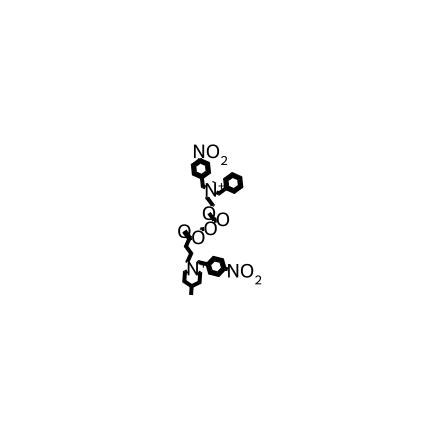 CC1CC[N+](CCCC(=O)OCOC(=O)OCC[N+](C)(Cc2ccccc2)Cc2ccc([N+](=O)[O-])cc2)(Cc2ccc([N+](=O)[O-])cc2)CC1